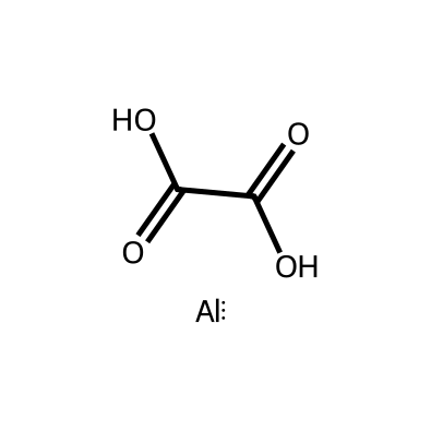 O=C(O)C(=O)O.[Al]